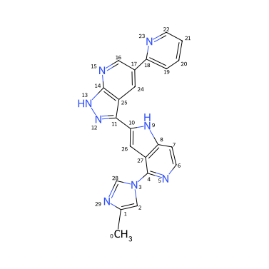 Cc1cn(-c2nccc3[nH]c(-c4n[nH]c5ncc(-c6ccccn6)cc45)cc23)cn1